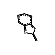 C=C1N=c2ccccc2=N1